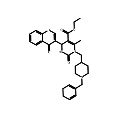 CCOC(=O)C1=C(C)N(CC2CCN(CC3=CCCC=C3)CC2)C(=O)NC1c1coc2ccccc2c1=O